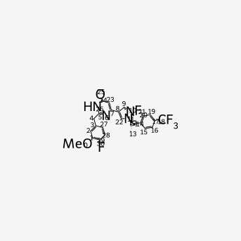 COc1cc(Cc2nc(-c3cnn([C@@H](C)c4ccc(C(F)(F)F)cc4F)c3)cc(=O)[nH]2)ccc1F